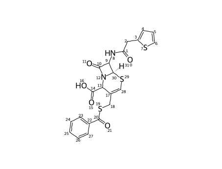 O=C(Cc1cccs1)NC1C(=O)N2C(C(=O)O)C(CSC(=O)c3ccccc3)=CS[C@H]12